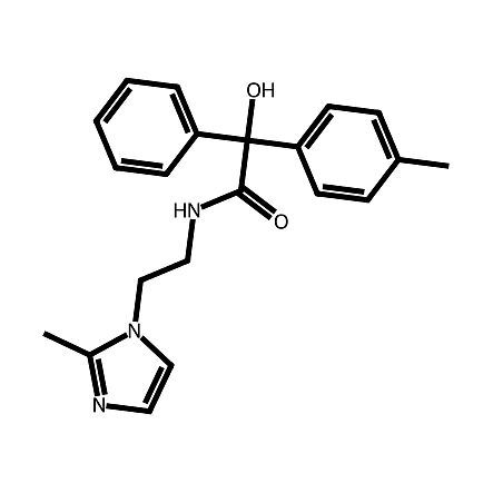 Cc1ccc(C(O)(C(=O)NCCn2ccnc2C)c2ccccc2)cc1